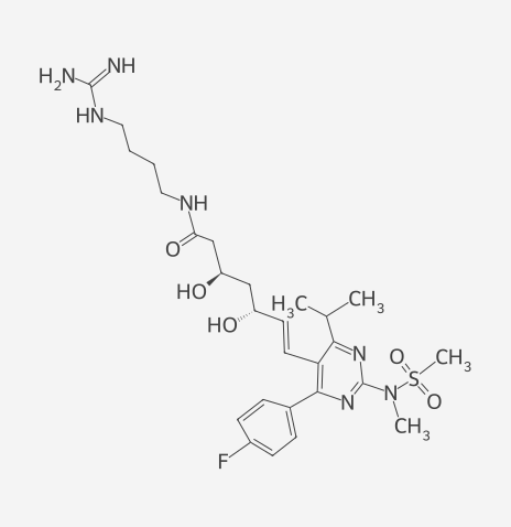 CC(C)c1nc(N(C)S(C)(=O)=O)nc(-c2ccc(F)cc2)c1/C=C/[C@H](O)C[C@@H](O)CC(=O)NCCCCNC(=N)N